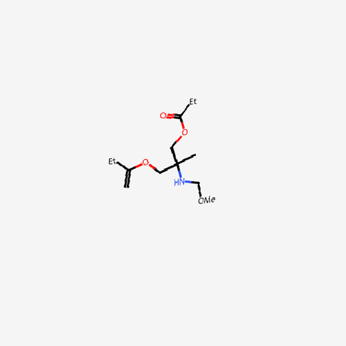 C=C(CC)OCC(C)(COC(=O)CC)NCOC